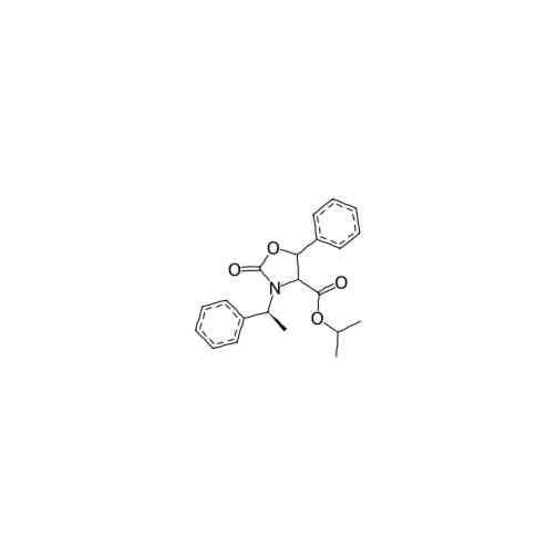 CC(C)OC(=O)C1C(c2ccccc2)OC(=O)N1[C@@H](C)c1ccccc1